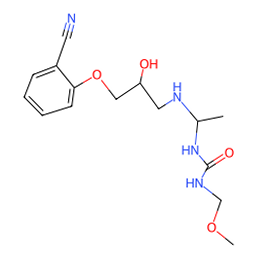 COCNC(=O)NC(C)NCC(O)COc1ccccc1C#N